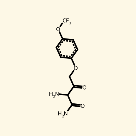 NC(=O)C(N)C(=O)COc1ccc(OC(F)(F)F)cc1